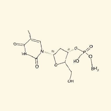 BOP(=O)(O)O[C@H]1C[C@@H](n2cc(C)c(=O)[nH]c2=O)OC1CO